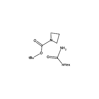 CC(C)(C)OC(=O)N1CCC1.CCCCCCC(N)=O